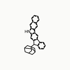 c1ccc2c(c1)-c1cc3c(cc1C2C12CC4CC(CC(C4)C1)C2)[nH]c1cc2ccccc2cc13